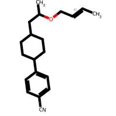 C/C=C/COC(C)CC1CCC(c2ccc(C#N)cc2)CC1